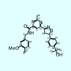 COc1cc(CNC(=O)c2cc(C3=NOC(c4ccc(C(C)(C)O)cc4)C3)nc(C)n2)ccc1F